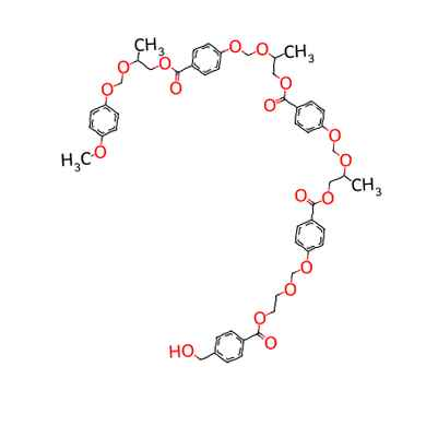 COc1ccc(OCOC(C)COC(=O)c2ccc(OCOC(C)COC(=O)c3ccc(OCOC(C)COC(=O)c4ccc(OCOCCOC(=O)c5ccc(CO)cc5)cc4)cc3)cc2)cc1